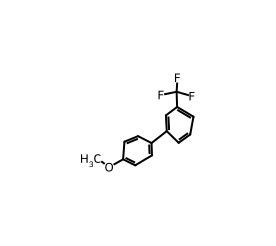 COc1ccc(-c2cccc(C(F)(F)F)c2)cc1